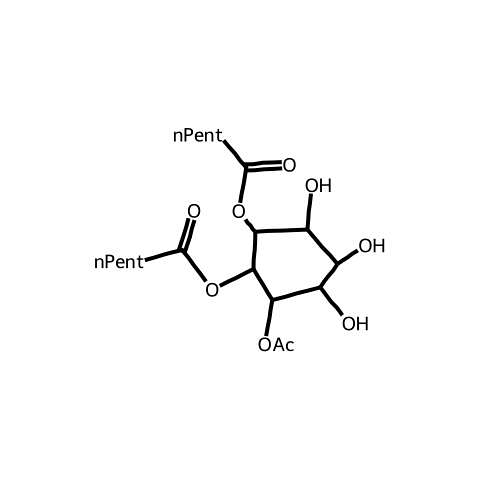 CCCCCC(=O)OC1C(O)C(O)C(O)C(OC(C)=O)C1OC(=O)CCCCC